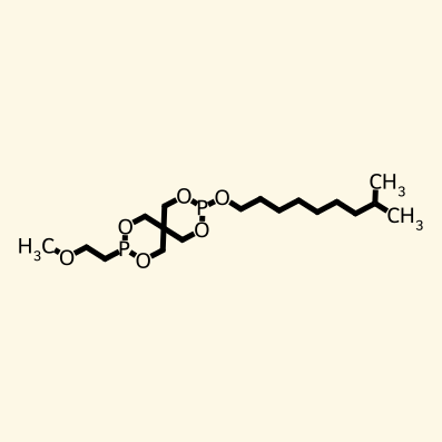 COCCP1OCC2(CO1)COP(OCCCCCCCC(C)C)OC2